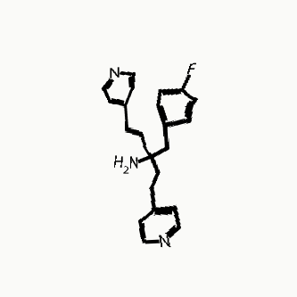 NC(CCc1ccncc1)(CCc1ccncc1)Cc1ccc(F)cc1